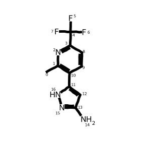 Cc1nc(C(F)(F)F)ccc1-c1cc(N)n[nH]1